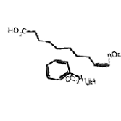 CCCCCCCC/C=C\CCCCCCCC(=O)O.O=C(O)c1ccccc1.[LiH]